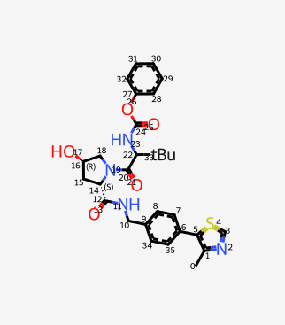 Cc1ncsc1-c1ccc(CNC(=O)[C@@H]2C[C@@H](O)CN2C(=O)C(NC(=O)Oc2ccccc2)C(C)(C)C)cc1